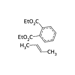 CC=CC.CCOC(=O)c1ccccc1C(=O)OCC